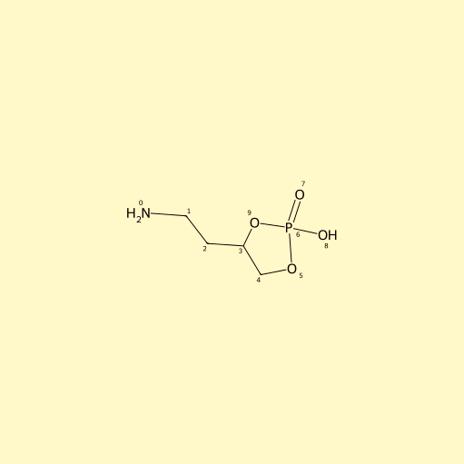 NCCC1COP(=O)(O)O1